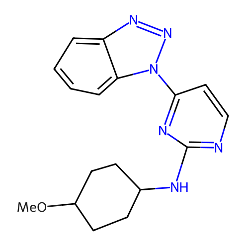 COC1CCC(Nc2nccc(-n3nnc4ccccc43)n2)CC1